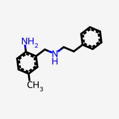 Cc1ccc(N)c(CNCCc2ccccc2)c1